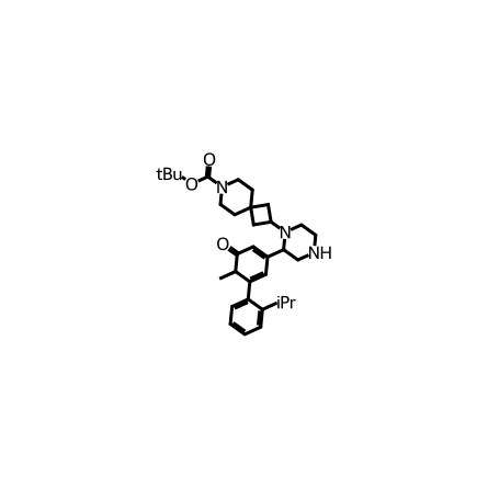 CC1C(=O)C=C(C2CNCCN2C2CC3(CCN(C(=O)OC(C)(C)C)CC3)C2)C=C1c1ccccc1C(C)C